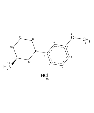 COc1cccc([C@H]2CCC[C@H](N)C2)c1.Cl